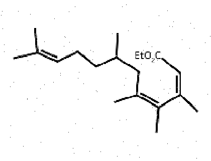 CCOC(=O)C=C(C)C(C)=C(C)CC(C)CCC=C(C)C